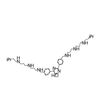 CC(C)CCNCCCNCCCNCc1ccc(-c2ccnc(-c3ccc(CNCCCNCCCNCCC(C)C)cc3)n2)cc1.Cl